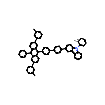 Cc1cccc(-c2ccc3c(-c4ccc(-c5ccc(-c6ccc7c(c6)c6ccccc6n7C6=CC=CC[C@@H]6C)cc5)cc4)c4cc(-c5cccc(C)c5)ccc4c(-c4ccccc4)c3c2)c1